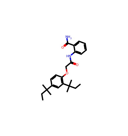 CCC(C)(C)c1ccc(OCC(=O)Nc2ccccc2C(N)=O)c(C(C)(C)CC)c1